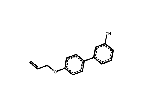 C=CCOc1ccc(-c2cccc(C#N)c2)cc1